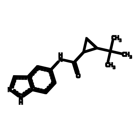 CC(C)(C)C1CC1C(=O)Nc1ccc2[nH]ncc2c1